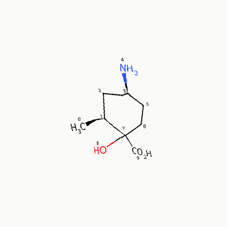 C[C@H]1C[C@@H](N)CCC1(O)C(=O)O